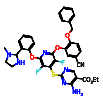 CCOC(=O)c1cnc(Sc2c(F)c(Oc3cc(C#N)ccc3OCc3ccccc3)nc(Oc3ccccc3C3NCCN3C)c2F)nc1N